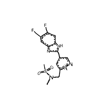 CN(Cc1cc(-c2nc3cc(F)c(F)cc3[nH]2)cnn1)S(C)(=O)=O